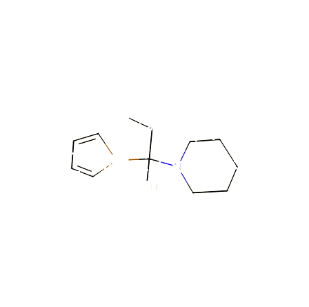 [CH2]CC(C)(N1CCCCC1)[SH]1C=CC=C1